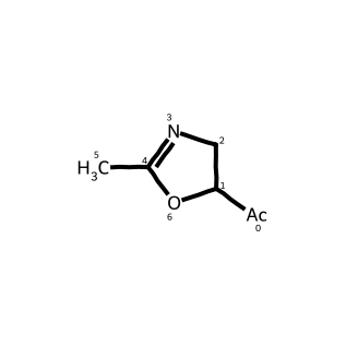 CC(=O)C1CN=C(C)O1